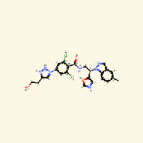 Cc1ccc2c(cnn2C(CNC(=O)c2c(Cl)cc(-n3cc(CCO)nn3)cc2Cl)c2cnco2)c1